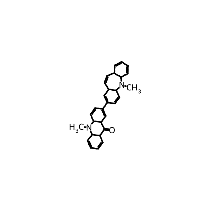 CN1C2C=CC=CC2C=CC2C=C(C3=CC4C(=O)C5C=CC=CC5N(C)C4C=C3)C=CC21